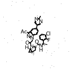 CC(=O)c1nn(CC(=O)N2[C@H](C(=O)N[C@H](C)c3cccc(Cl)c3F)C[C@@]3(C)C[C@@H]23)c2ccc(-c3cnc(C)nc3)cc12